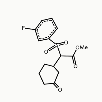 COC(=O)C(C1CCCC(=O)C1)S(=O)(=O)c1cccc(F)c1